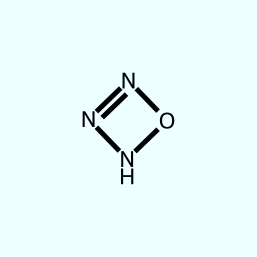 n1no[nH]1